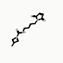 CC1CN(C(=O)NCCCCN2C(=O)C=CC2=O)C1